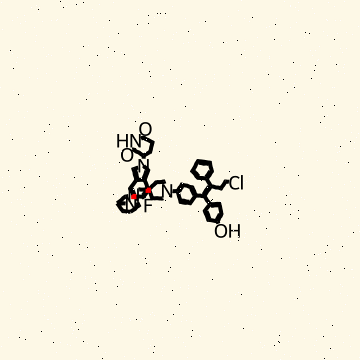 O=C1CCC(n2cc3cc(F)c(N4C5CC4CN(CC4CCN(c6ccc(C(=C(CCCl)c7ccccc7)c7ccc(O)cc7)cc6)CC4)C5)cc3c2)C(=O)N1